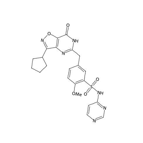 COc1ccc(Cc2nc3c(C4CCCC4)noc3c(=O)[nH]2)cc1S(=O)(=O)Nc1ccncn1